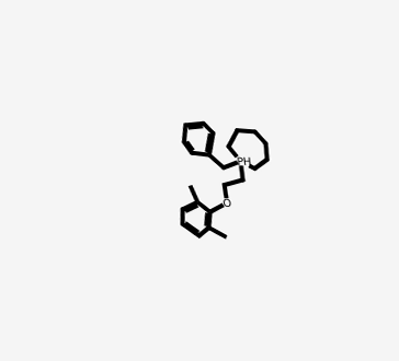 Cc1cccc(C)c1OCC[PH]1(Cc2ccccc2)CCCCCC1